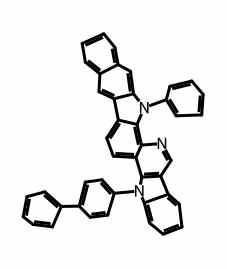 c1ccc(-c2ccc(-n3c4ccccc4c4cnc5c(ccc6c7cc8ccccc8cc7n(-c7ccccc7)c65)c43)cc2)cc1